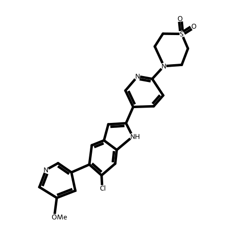 COc1cncc(-c2cc3cc(-c4ccc(N5CCS(=O)(=O)CC5)nc4)[nH]c3cc2Cl)c1